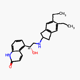 CCc1cc2c(cc1CC)CC(NC[C@H](O)c1cccc3[nH]c(=O)ccc13)C2